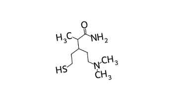 CC(C(N)=O)C(CCS)CCN(C)C